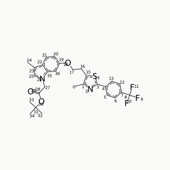 Cc1nc(-c2ccc(C(F)(F)F)cc2)sc1CCOc1ccc2c(C)cn(CC(=O)OC(C)(C)C)c2c1